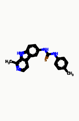 Cc1ccc(NC(=S)Nc2ccc3[nH]c4c(C)nccc4c3c2)cc1